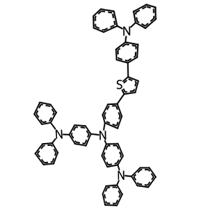 c1ccc(N(c2ccccc2)c2ccc(-c3ccc(-c4ccc(N(c5ccc(N(c6ccccc6)c6ccccc6)cc5)c5ccc(N(c6ccccc6)c6ccccc6)cc5)cc4)s3)cc2)cc1